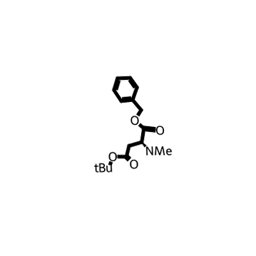 CN[C@@H](CC(=O)OC(C)(C)C)C(=O)OCc1ccccc1